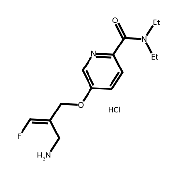 CCN(CC)C(=O)c1ccc(OCC(=CF)CN)cn1.Cl